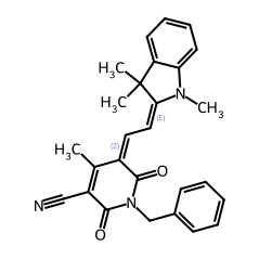 CC1=C(C#N)C(=O)N(Cc2ccccc2)C(=O)/C1=C\C=C1\N(C)c2ccccc2C1(C)C